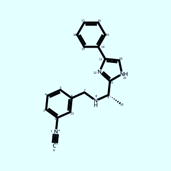 [C-]#[N+]c1cccc(CN[C@@H](C)c2nc(-c3ccccc3)c[nH]2)c1